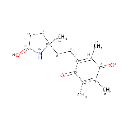 CC1=C(C)C(=O)C(CCC2(C)CCC(=O)N2)=C(C)C1=O